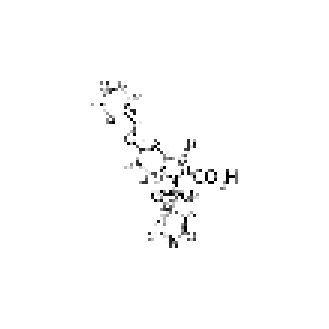 O=C(O)c1c(I)c2cc(OCc3ccccc3)ccc2n1S(=O)(=O)c1ccccc1